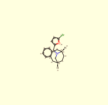 Brc1ccc(CN2C[C@@H]3CC[C@H]2Cc2ccccc2C3)o1